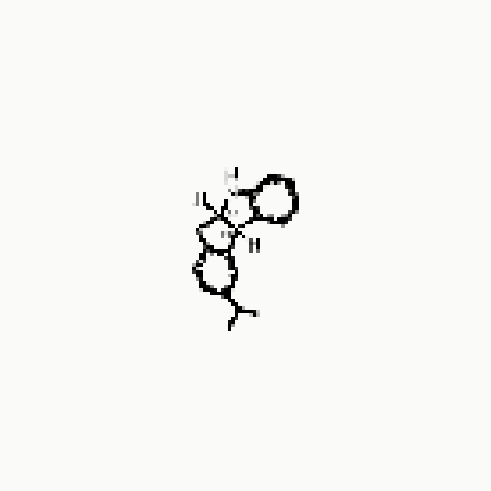 CC(C)c1ccc2c(c1)[C@H]1c3ccccc3N[C@H]1C2